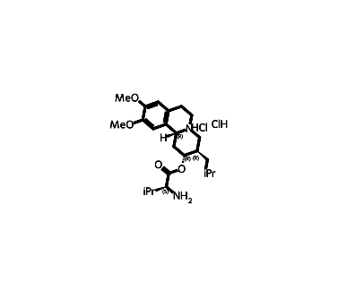 COc1cc2c(cc1OC)[C@H]1C[C@@H](OC(=O)[C@@H](N)C(C)C)[C@H](CC(C)C)CN1CC2.Cl.Cl